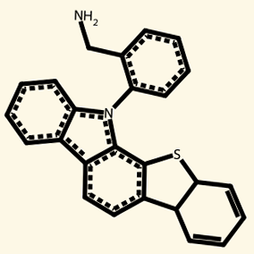 NCc1ccccc1-n1c2ccccc2c2ccc3c(c21)SC1C=CC=CC31